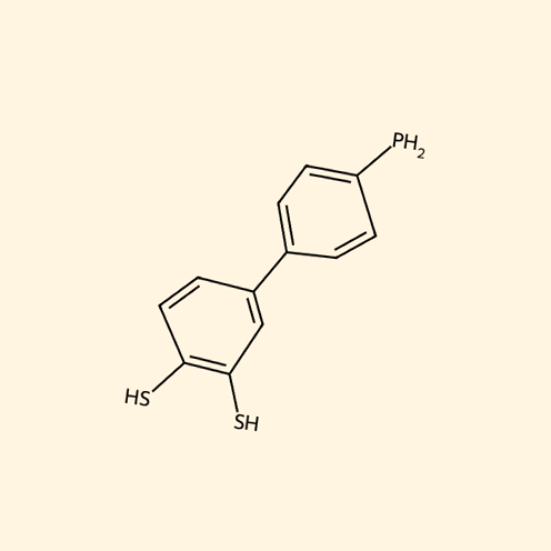 Pc1ccc(-c2ccc(S)c(S)c2)cc1